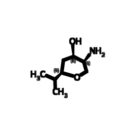 CC(C)[C@H]1C[C@@H](O)[C@@H](N)CO1